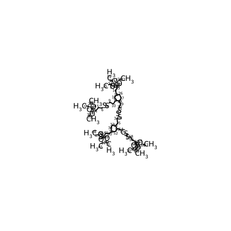 CCO[Si](CCCSSCCC1CC(CC[Si](OCC)(OCC)OCC)CCC1CCSSSCCC1CCC(CC[Si](OCC)(OCC)OCC)CC1CCSSCCC[Si](OCC)(OCC)OCC)(OCC)OCC